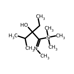 CCC(O)(C(=NC)[Si](C)(C)C)C(C)C